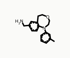 Cc1cccc(N2CCOCCc3cc(CN)ccc32)c1